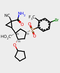 N#CC1(C(N)=O)CC1[C@@]1(C(=O)O)C[C@H](S(=O)(=O)c2ccc(Br)cc2C(F)(F)F)C[C@@H]1OC1CCCC1